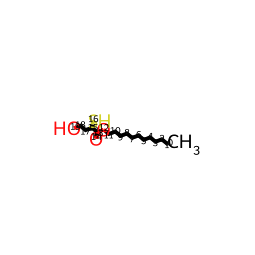 CCCCCCCCCCCCOC(=O)C(S)CCO